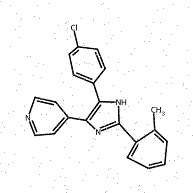 Cc1ccccc1-c1nc(-c2ccncc2)c(-c2ccc(Cl)cc2)[nH]1